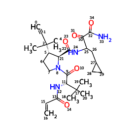 C#CC(C)(C)[C@H]1CCN(C(=O)[C@@H](NC(=O)C=C)C(C)(C)C)[C@@H]1C(=O)NC(CC1CC1)C(=O)C(N)=O